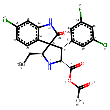 CC(C)(C)C[C@@H]1N[C@@H](C(=O)OC(=O)C(F)(F)F)[C@@H](c2cc(F)cc(Cl)c2)C12C(=O)Nc1cc(Cl)ccc12